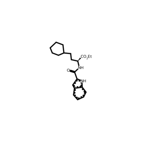 CCOC(=O)[C@H](CCC1CCCCC1)NC(=O)c1cc2ccccc2[nH]1